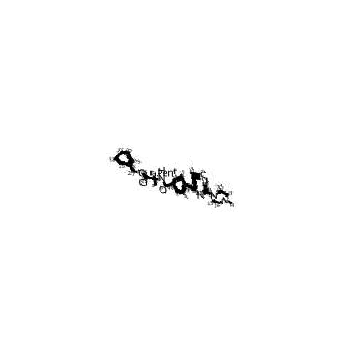 CCCCCC(C)(NC(=O)c1ccc(-c2csc(N3CCN(C)CC3)n2)cc1)C(=O)OCc1ccccc1